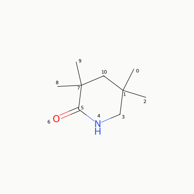 CC1(C)CNC(=O)C(C)(C)C1